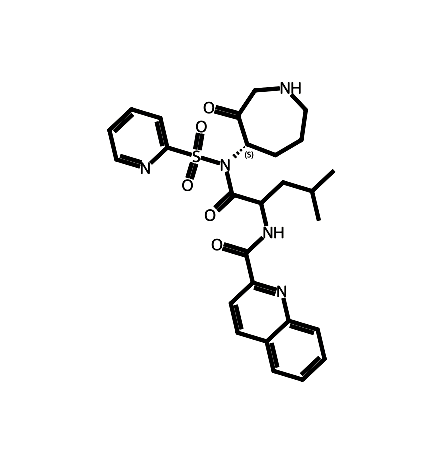 CC(C)CC(NC(=O)c1ccc2ccccc2n1)C(=O)N([C@H]1CCCNCC1=O)S(=O)(=O)c1ccccn1